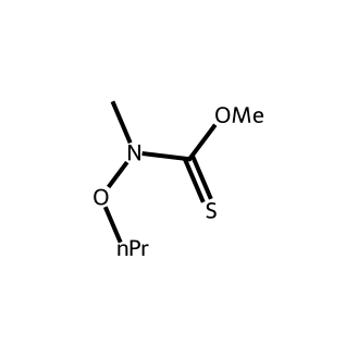 CCCON(C)C(=S)OC